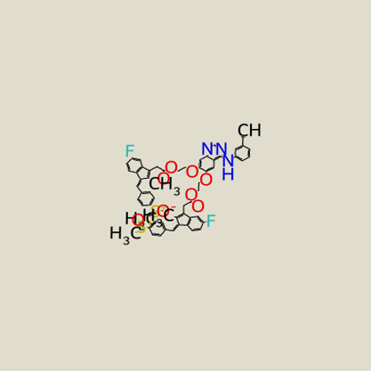 C#Cc1cccc(Nc2ncnc3cc(OCCOC(=O)CC4=C(C)/C(=C\c5ccc([S+](C)[O-])cc5)c5ccc(F)cc54)c(OCCOC(=O)CC4=C(C)/C(=C\c5ccc([S+](C)[O-])cc5)c5ccc(F)cc54)cc23)c1